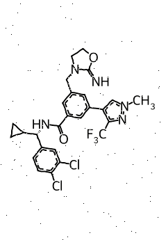 Cn1cc(-c2cc(CN3CCOC3=N)cc(C(=O)N[C@H](c3ccc(Cl)c(Cl)c3)C3CC3)c2)c(C(F)(F)F)n1